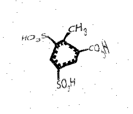 Cc1c(C(=O)O)cc(S(=O)(=O)O)cc1S(=O)(=O)O